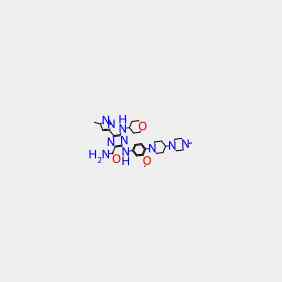 COc1cc(Nc2nc(NC3CCOCC3)c(C3=CC(C)N=N3)nc2C(N)=O)ccc1N1CCC(N2CCN(C)CC2)CC1